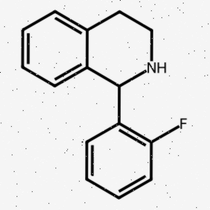 Fc1ccc[c]c1C1NCCc2ccccc21